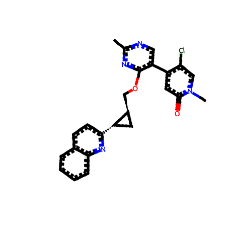 Cc1ncc(-c2cc(=O)n(C)cc2Cl)c(OC[C@H]2C[C@@H]2c2ccc3ccccc3n2)n1